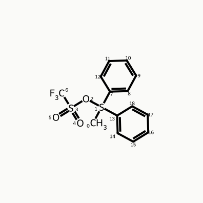 CS(OS(=O)(=O)C(F)(F)F)(c1ccccc1)c1ccccc1